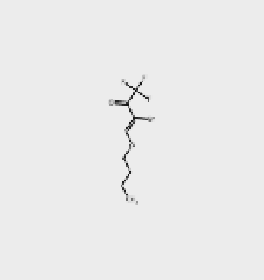 CCCCOC=C(Br)C(=O)C(F)(F)F